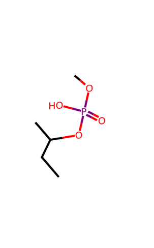 CCC(C)OP(=O)(O)OC